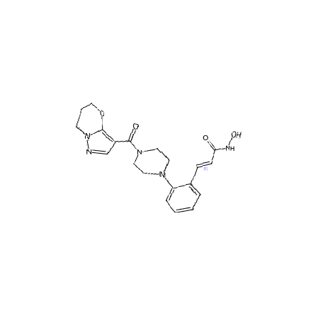 O=C(/C=C/c1ccccc1N1CCN(C(=O)c2cnn3c2OCCC3)CC1)NO